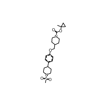 CC1(OC(=O)N2CCC(COc3ccc(C4CCN(S(C)(=O)=O)CC4)cc3)CC2)CC1